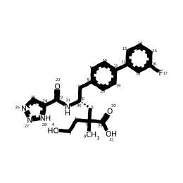 CC(CCO)(C[C@@H](Cc1ccc(-c2cccc(F)c2)cc1)NC(=O)c1cnn[nH]1)C(=O)O